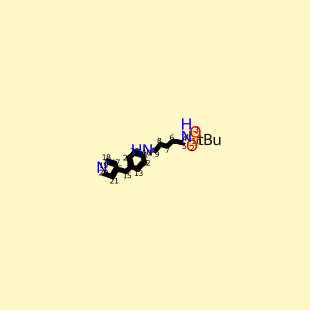 CC(C)(C)S(=O)(=O)NCCCCCNc1ccc(Cc2ccncc2)cc1